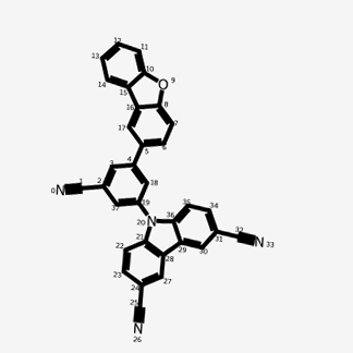 N#Cc1cc(-c2ccc3oc4ccccc4c3c2)cc(-n2c3ccc(C#N)cc3c3cc(C#N)ccc32)c1